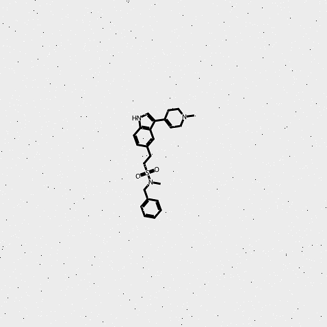 CN1CC=C(c2c[nH]c3ccc(CCS(=O)(=O)N(C)Cc4ccccc4)cc23)CC1